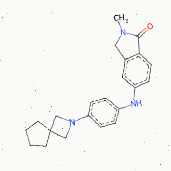 CN1Cc2cc(Nc3ccc(N4CC5(CCCC5)C4)cc3)ccc2C1=O